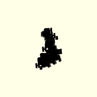 Cc1cc(I)ccc1Nc1cc(Cl)ccc1C(=O)O.Cc1cc(I)ccc1Nc1ccc(Br)cc1C(=O)O.Cc1cc(I)ccc1Nc1ccc(Cl)cc1C(=O)[O-].Cc1cc(I)ccc1Nc1ccc([N+](=O)[O-])cc1C(=O)O.Cc1cc(I)ccc1Nc1ccccc1C(=O)O.[Na+]